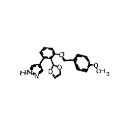 COc1ccc(COc2cccc(-c3cn[nH]c3)c2C2OCCO2)cc1